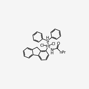 CCCC(=O)[NH][Hf]([Cl])([Cl])([c]1cccc2c1Cc1ccccc1-2)[SiH](c1ccccc1)c1ccccc1